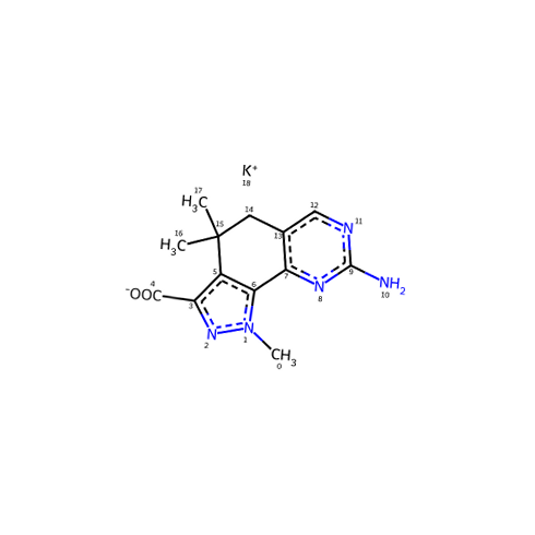 Cn1nc(C(=O)[O-])c2c1-c1nc(N)ncc1CC2(C)C.[K+]